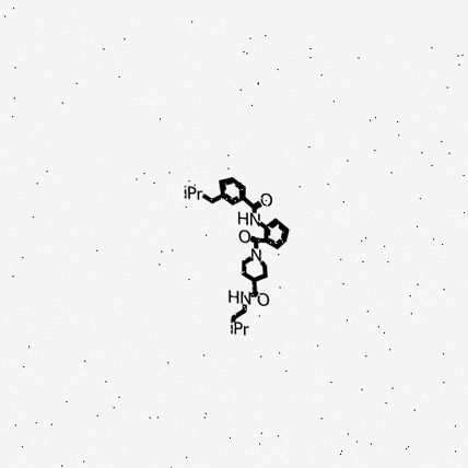 CC(C)CCNC(=O)C1CCN(C(=O)c2ccccc2NC(=O)c2cccc(CC(C)C)c2)CC1